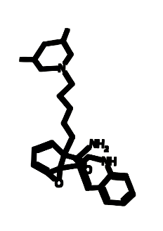 CC1CC(C)CN(CCCCCC2(C(N)=O)C=CC=C3OC32C2=Cc3ccccc3NC2)C1